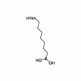 CCCCCCCCCCCCCB(O)O